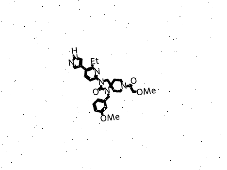 CCc1nc(N2CC3(CCN(C(=O)COC)CC3)N(Cc3cccc(OC)c3)C2=O)ccc1-c1cn[nH]c1